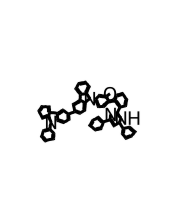 C1=C(c2ccccc2)N=C(c2cccc3oc4cc(-n5c6ccccc6c6cc(-c7ccc8c(c7)c7ccccc7n8-c7ccccc7)ccc65)ccc4c23)NC1c1ccccc1